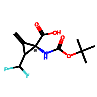 C=C1C(C(F)F)[C@@]1(NC(=O)OC(C)(C)C)C(=O)O